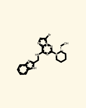 OC[C@@H]1CCCCN1c1nc(NCc2nc3ccccc3[nH]2)c2ncc(Br)n2n1